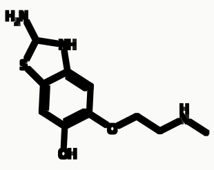 CNCCOc1cc2c(cc1O)SC(N)N2